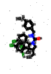 CC(C)(C)C[C@@H]1CN(C(=O)NCc2ccc(C(=O)O)cc2)[C@H](c2cccc(Cl)c2Cl)[C@@]1(C#N)c1ccc(Cl)cc1F